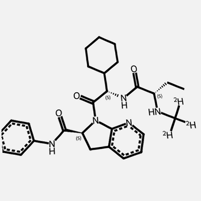 [2H]C([2H])([2H])N[C@@H](CC)C(=O)N[C@H](C(=O)N1c2ncccc2C[C@H]1C(=O)Nc1ccccc1)C1CCCCC1